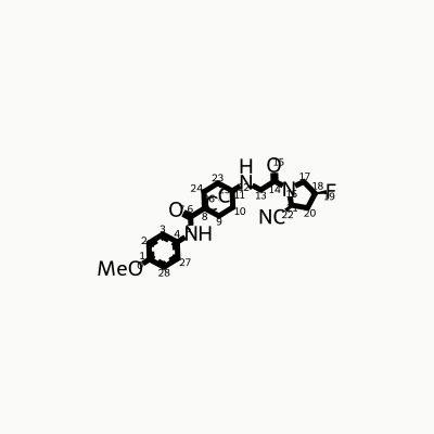 COc1ccc(NC(=O)C23CCC(NCC(=O)N4C[C@@H](F)C[C@H]4C#N)(CC2)CC3)cc1